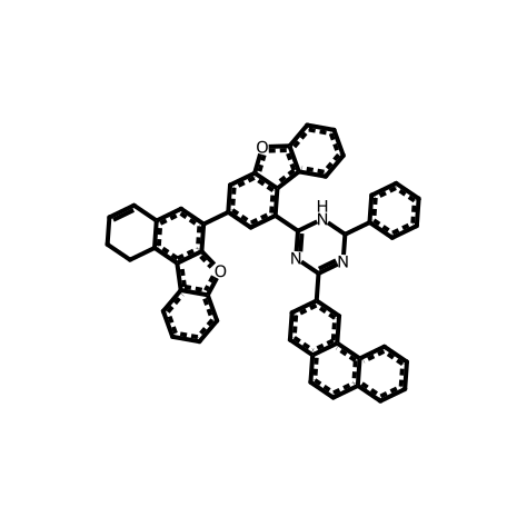 C1=Cc2cc(-c3cc(C4=NC(c5ccc6ccc7ccccc7c6c5)=NC(c5ccccc5)N4)c4c(c3)oc3ccccc34)c3oc4ccccc4c3c2CC1